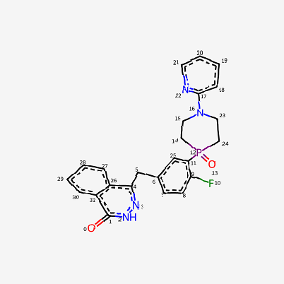 O=c1[nH]nc(Cc2ccc(F)c(P3(=O)CCN(c4ccccn4)CC3)c2)c2ccccc12